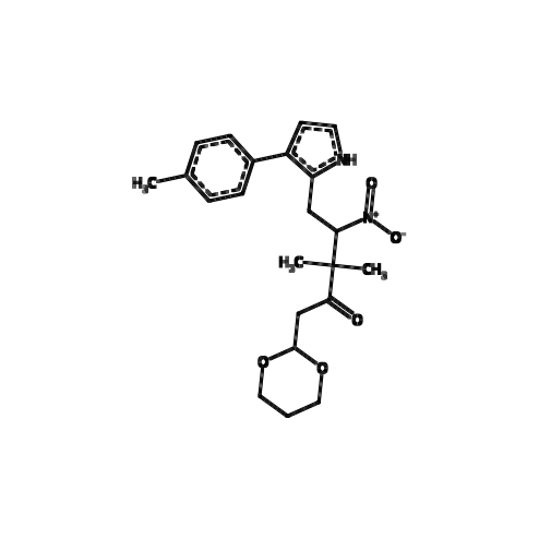 Cc1ccc(-c2cc[nH]c2CC([N+](=O)[O-])C(C)(C)C(=O)CC2OCCCO2)cc1